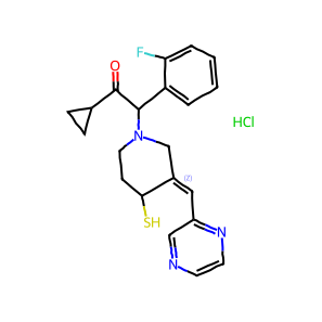 Cl.O=C(C1CC1)C(c1ccccc1F)N1CCC(S)/C(=C\c2cnccn2)C1